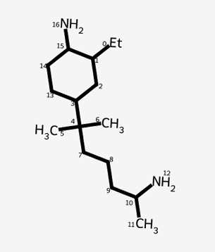 CCC1CC(C(C)(C)CCCC(C)N)CCC1N